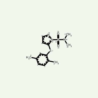 Cc1ccc(C)c(Sc2ccnn2S(=O)(=O)N(C)C)c1